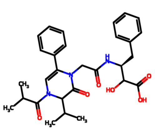 CC(C)C(=O)N1C=C(c2ccccc2)N(CC(=O)N[C@@H](Cc2ccccc2)C(O)C(=O)O)C(=O)C1C(C)C